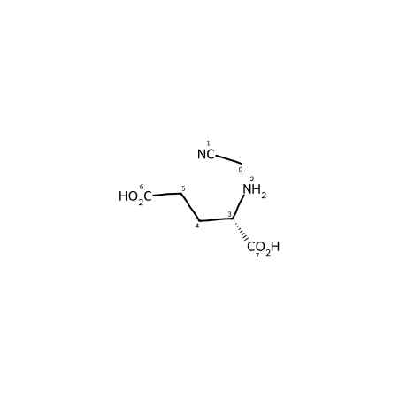 CC#N.N[C@@H](CCC(=O)O)C(=O)O